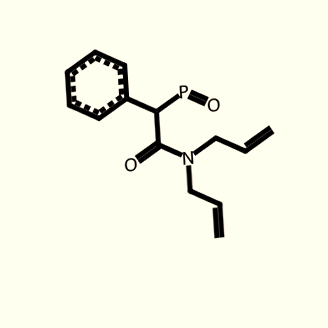 C=CCN(CC=C)C(=O)C(P=O)c1ccccc1